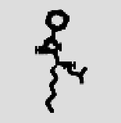 CCCCCC[C@@H](NCC(C)C)c1nc(-c2ccccc2)c[nH]1